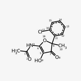 CC(=O)NC1=C(O)C(=O)C(C)(c2ccccc2Cl)O1